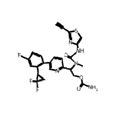 C#Cc1nc(NC(=O)N(C)C(COC(N)=O)c2ccc(-c3ccc(F)cc3C3CC3(F)F)cn2)cs1